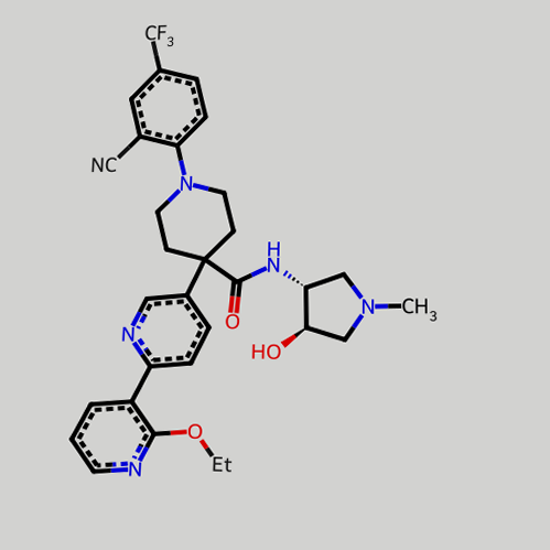 CCOc1ncccc1-c1ccc(C2(C(=O)N[C@@H]3CN(C)C[C@H]3O)CCN(c3ccc(C(F)(F)F)cc3C#N)CC2)cn1